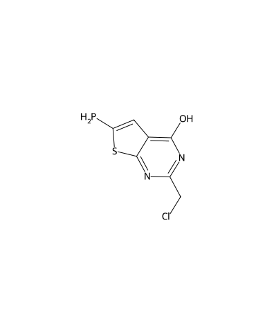 Oc1nc(CCl)nc2sc(P)cc12